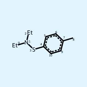 CCN(CC)Sc1ccc(C)cc1